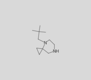 CC(C)(C)CN1CCNCC12CC2